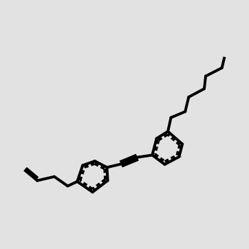 C=CCCc1ccc(C#Cc2c[c]cc(CCCCCCC)c2)cc1